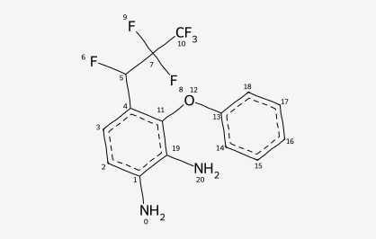 Nc1ccc(C(F)C(F)(F)C(F)(F)F)c(Oc2ccccc2)c1N